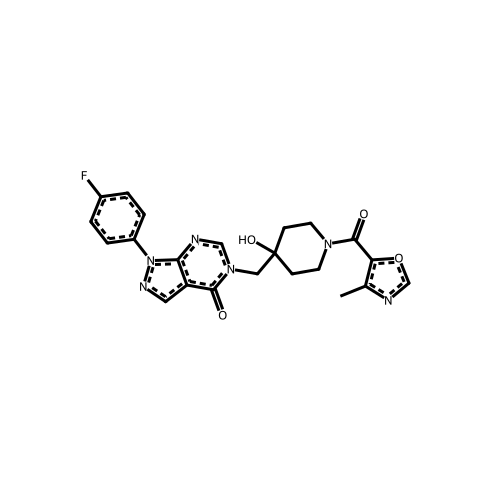 Cc1ncoc1C(=O)N1CCC(O)(Cn2cnc3c(cnn3-c3ccc(F)cc3)c2=O)CC1